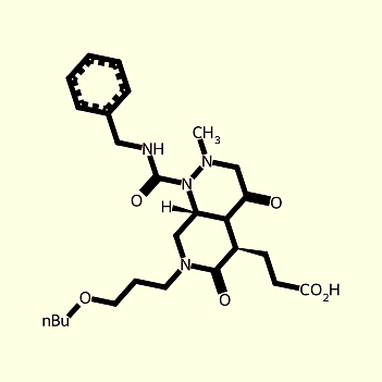 CCCCOCCCN1C[C@H]2C(C(=O)CN(C)N2C(=O)NCc2ccccc2)[C@@H](CCC(=O)O)C1=O